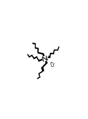 CCCCCC[N+](CCCCCC)(CCCCCC)CCCCCC.[Cl-]